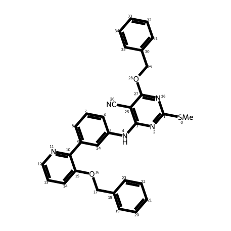 CSc1nc(Nc2cccc(-c3ncccc3OCc3ccccc3)c2)c(C#N)c(OCc2ccccc2)n1